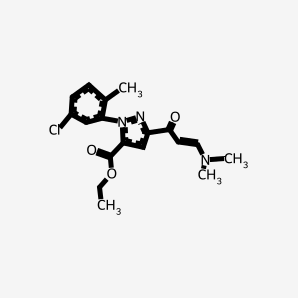 CCOC(=O)c1cc(C(=O)C=CN(C)C)nn1-c1cc(Cl)ccc1C